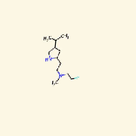 CC(C)C1CNC(CCN(C)CCF)C1